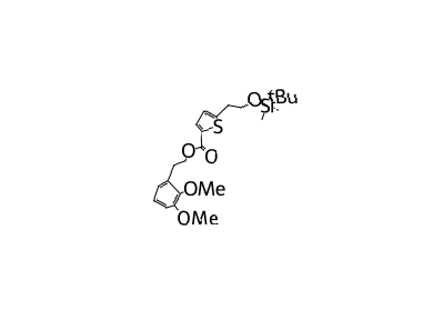 COc1cccc(CCOC(=O)c2ccc(CCO[Si](C)(C)C(C)(C)C)s2)c1OC